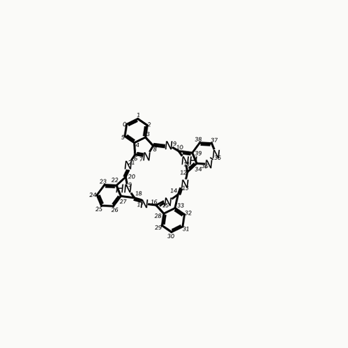 c1ccc2c(c1)-c1nc-2nc2[nH]c(nc3nc(nc4[nH]c(n1)c1ccccc41)-c1ccccc1-3)c1nnccc21